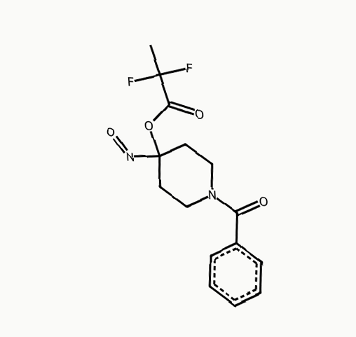 CC(F)(F)C(=O)OC1(N=O)CCN(C(=O)c2ccccc2)CC1